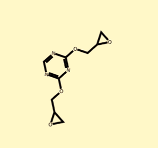 c1nc(OCC2CO2)nc(OCC2CO2)n1